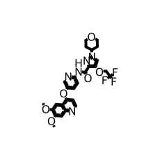 COc1cc2nccc(Oc3ccc(NC(=O)c4nn(C5CCOCC5)cc4OCC(F)(F)F)nc3)c2cc1OC